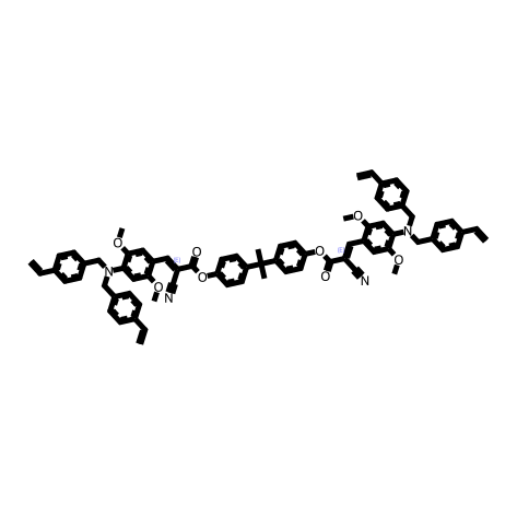 C=Cc1ccc(CN(Cc2ccc(C=C)cc2)c2cc(OC)c(/C=C(\C#N)C(=O)Oc3ccc(C(C)(C)c4ccc(OC(=O)/C(C#N)=C/c5cc(OC)c(N(Cc6ccc(C=C)cc6)Cc6ccc(C=C)cc6)cc5OC)cc4)cc3)cc2OC)cc1